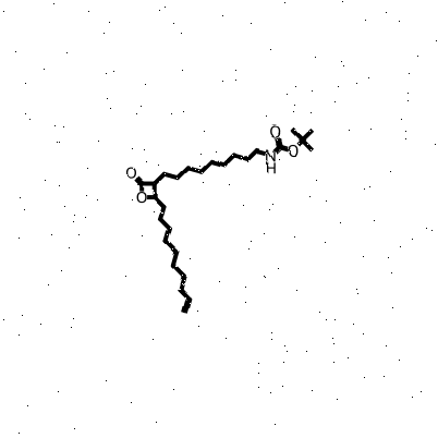 C=CCCCCCCCCC1OC(=O)C1CCCCCCCCCNC(=O)OC(C)(C)C